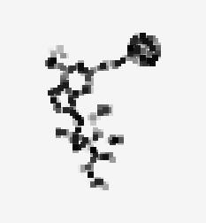 CNC(=O)[C@@]12C[C@@H]1[C@@H](n1cnc3c(NC)nc(C#C[C]45[CH]6[CH]7[CH]8[CH]4[Fe]786549%10%11[CH]5[CH]4[CH]9[CH]%10[CH]5%11)nc31)[C@H](O)[C@@H]2O